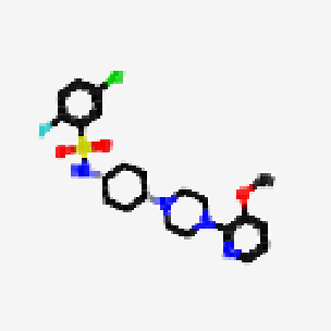 CC(C)Oc1cccnc1N1CCN([C@H]2CC[C@@H](NS(=O)(=O)c3cc(Cl)ccc3F)CC2)CC1